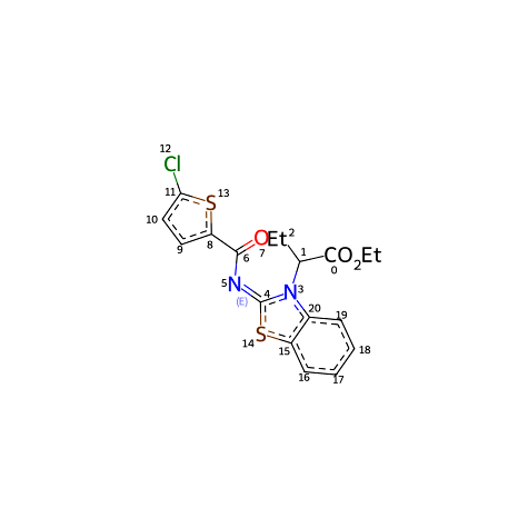 CCOC(=O)C(CC)n1/c(=N\C(=O)c2ccc(Cl)s2)sc2ccccc21